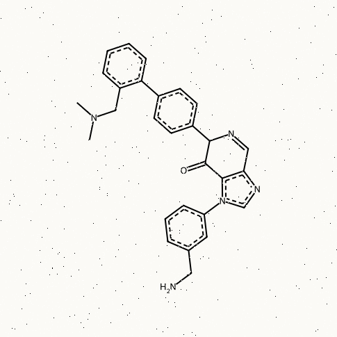 CN(C)Cc1ccccc1-c1ccc(C2N=Cc3ncn(-c4cccc(CN)c4)c3C2=O)cc1